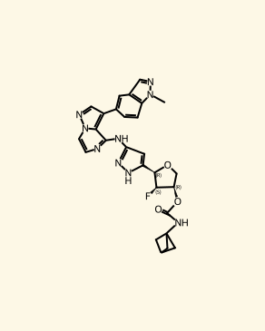 Cn1ncc2cc(-c3cnn4ccnc(Nc5cc([C@H]6OC[C@@H](OC(=O)NC78CC(C7)C8)[C@H]6F)[nH]n5)c34)ccc21